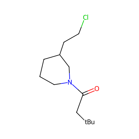 CC(C)(C)CC(=O)N1CCCC(CCCl)C1